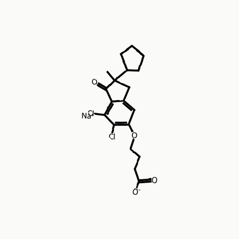 CC1(C2CCCC2)Cc2cc(OCCCC(=O)[O-])c(Cl)c(Cl)c2C1=O.[Na+]